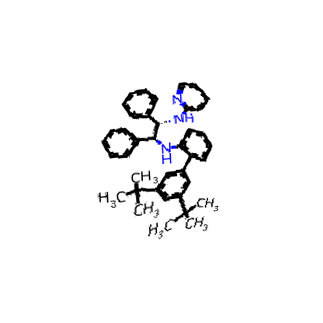 CC(C)(C)c1cc(-c2ccccc2N[C@@H](c2ccccc2)[C@@H](Nc2ccccn2)c2ccccc2)cc(C(C)(C)C)c1